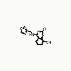 Oc1cccc2c(NCc3ncon3)nc(Cl)nc12